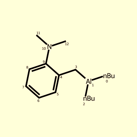 CCC[CH2][Al]([CH2]CCC)[CH2]c1ccccc1N(C)C